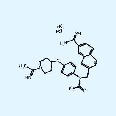 CCC(=O)N(Cc1ccc2ccc(C(=N)N)cc2c1)c1ccc(OC2CCN(C(C)=N)CC2)cc1.Cl.Cl